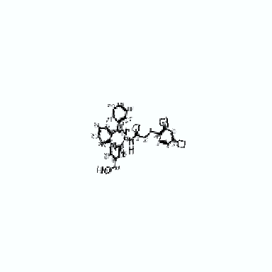 O=C(CCc1ccc(Cl)cc1Cl)NC1N=C(c2ccccc2)c2ccccc2N2C[C@H](CO)N=C12